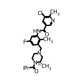 Cc1ncc(C(=O)Nc2cc(F)cc(CN3CCN(C(=O)C(C)C)[C@@H](C)C3)c2C)cc1Cl